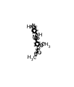 CCOC(=O)COc1ccc(-c2cnc(Nc3ccc4[nH]ncc4c3)o2)cc1OC